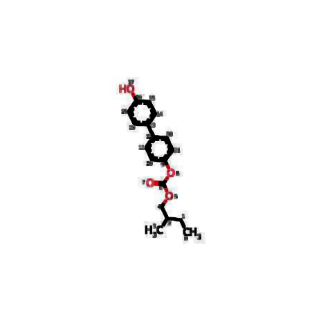 CCC(C)COC(=O)Oc1ccc(-c2ccc(O)cc2)cc1